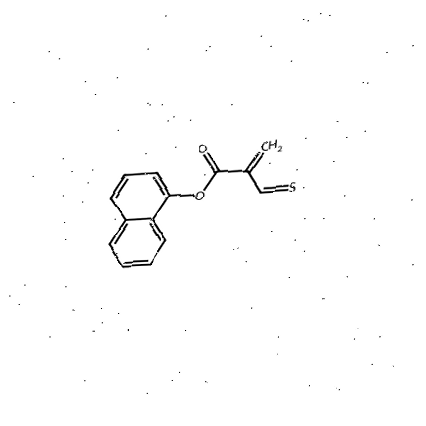 C=C(C=S)C(=O)Oc1cccc2ccccc12